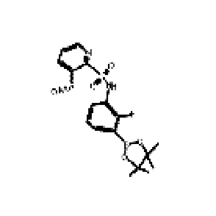 COc1cccnc1S(=O)(=O)Nc1cccc(B2OC(C)(C)C(C)(C)O2)c1F